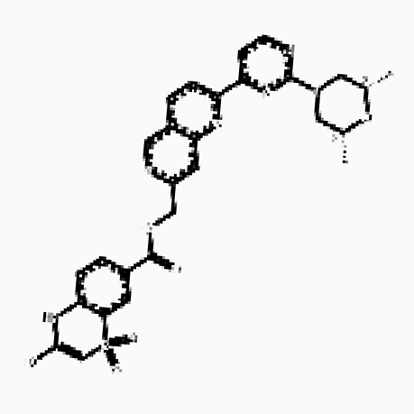 C[C@@H]1CN(c2nccc(-c3ccc4cnc(CNC(=O)c5ccc6c(c5)S(=O)(=O)C=C(O)N6)cc4n3)n2)C[C@H](C)O1